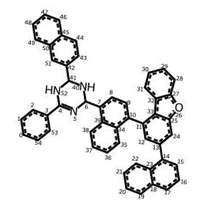 c1ccc(C2=NC(c3ccc(-c4cc(-c5cccc6ccccc56)cc5oc6ccccc6c45)c4ccccc34)NC(c3ccc4ccccc4c3)N2)cc1